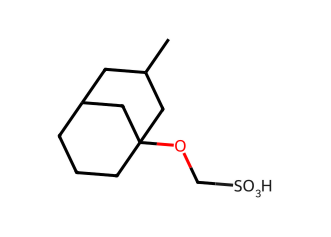 CC1CC2CCCC(OCS(=O)(=O)O)(C1)C2